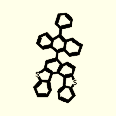 c1ccc(-c2c3ccccc3c(-c3cc4sc5ccccc5c4c4c3ccc3sc5ccccc5c34)c3ccccc23)cc1